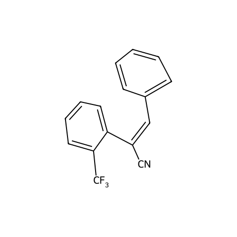 N#C/C(=C/c1ccccc1)c1ccccc1C(F)(F)F